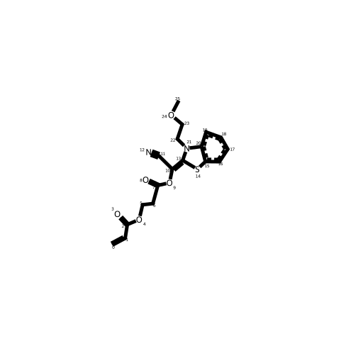 C=CC(=O)OCCC(=O)O/C(C#N)=C1\Sc2ccccc2N1CCOC